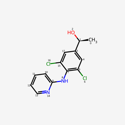 C[C@H](O)c1cc(Cl)c(Nc2ccccn2)c(Cl)c1